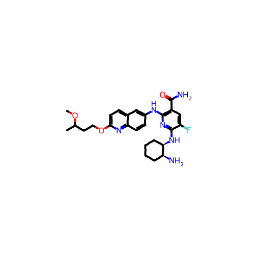 COC(C)CCOc1ccc2cc(Nc3nc(N[C@@H]4CCCC[C@@H]4N)c(F)cc3C(N)=O)ccc2n1